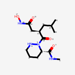 CNC(=O)[C@@H]1CCCNN1C(=O)[C@@H](CC(=O)NO)CC(C)C